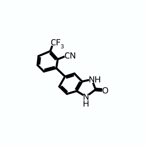 N#Cc1c(-c2ccc3[nH]c(=O)[nH]c3c2)cccc1C(F)(F)F